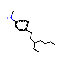 CCCCC(CC)CCc1ccc(NC)cc1